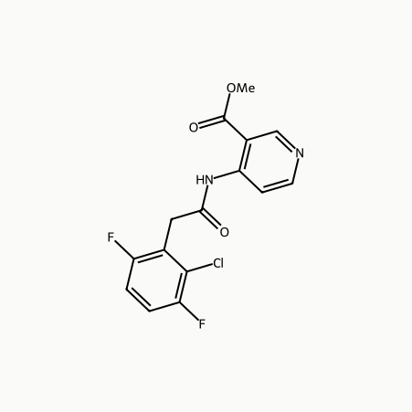 COC(=O)c1cnccc1NC(=O)Cc1c(F)ccc(F)c1Cl